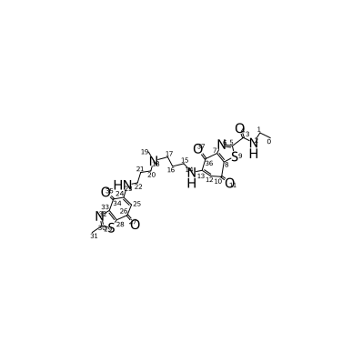 CCNC(=O)c1nc2c(s1)C(=O)C=C(NCCCN(C)CCCNC1=CC(=O)c3sc(C)nc3C1=O)C2=O